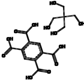 O=C(O)c1cc(C(=O)O)c(C(=O)O)cc1C(=O)O.OCC(CO)(CO)CO